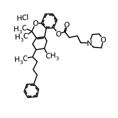 CC(CCCc1ccccc1)C1CC2=C(CC1C)c1c(OC(=O)CCCN3CCOCC3)cccc1OC2(C)C.Cl